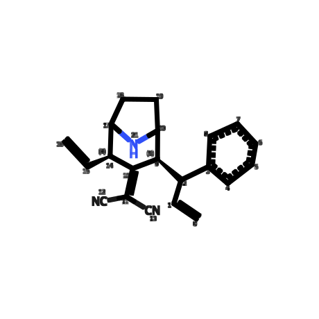 C=CC(c1ccccc1)[C@H]1C(=C(C#N)C#N)[C@@H](C=C)C2CCC1N2